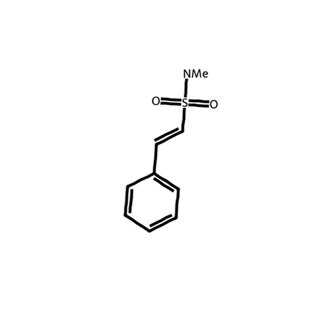 [CH2-][NH2+]S(=O)(=O)/C=C/c1ccccc1